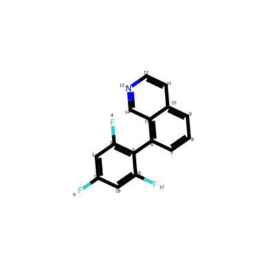 Fc1cc(F)c(-c2cccc3ccncc23)c(F)c1